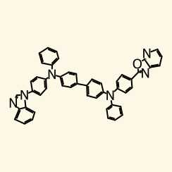 c1ccc(N(c2ccc(-c3ccc(N(c4ccccc4)c4ccc(-n5cnc6ccccc65)cc4)cc3)cc2)c2ccc(-c3nc4cccnc4o3)cc2)cc1